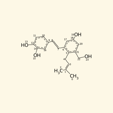 CC(C)=CCc1c(/C=C/c2ccc(O)c(O)c2)cc(O)cc1CO